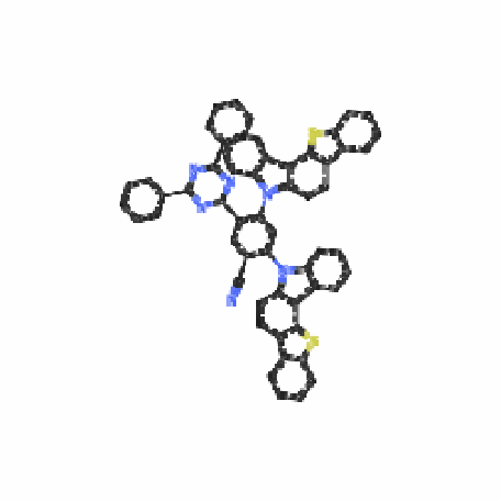 N#Cc1cc(-c2nc(-c3ccccc3)nc(-c3ccccc3)n2)c(-n2c3ccccc3c3c4sc5ccccc5c4ccc32)cc1-n1c2ccccc2c2c3sc4ccccc4c3ccc21